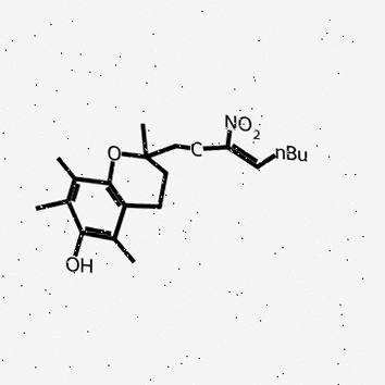 CCCC/C=C(/CCC1(C)CCc2c(C)c(O)c(C)c(C)c2O1)[N+](=O)[O-]